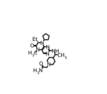 CC[C@@H]1C(=O)N(C)c2cnc(NC(C)C3CCN(CC(N)=O)CC3)nc2N1C1CCCC1